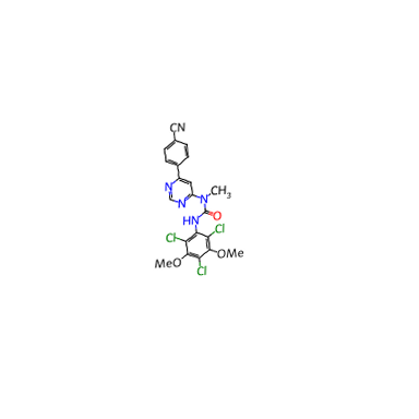 COc1c(Cl)c(NC(=O)N(C)c2cc(-c3ccc(C#N)cc3)ncn2)c(Cl)c(OC)c1Cl